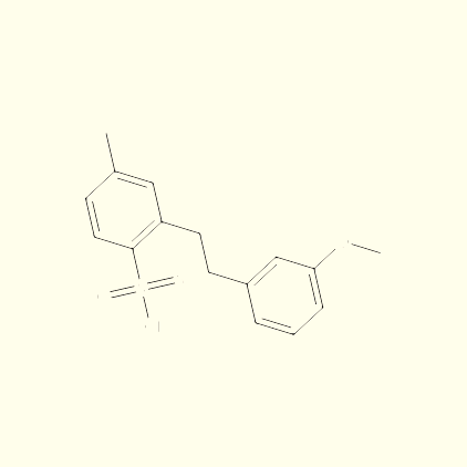 COc1cccc(CCc2cc(C)ccc2S(=O)(O)=S)c1